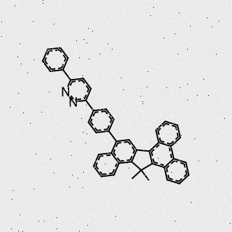 CC1(C)c2c(cc(-c3ccc(-c4ccc(-c5ccccc5)nn4)cc3)c3ccccc23)-c2c1c1ccccc1c1ccccc21